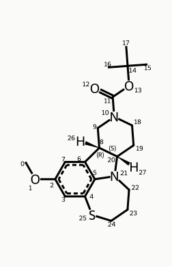 COc1cc2c3c(c1)[C@@H]1CN(C(=O)OC(C)(C)C)CC[C@@H]1N3CCCS2